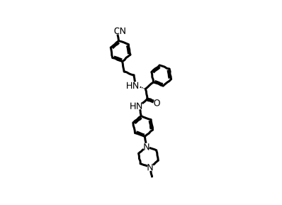 CN1CCN(c2ccc(NC(=O)[C@H](NCCc3ccc(C#N)cc3)c3ccccc3)cc2)CC1